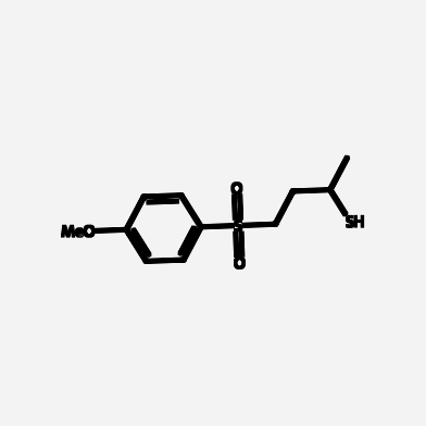 COc1ccc(S(=O)(=O)CCC(C)S)cc1